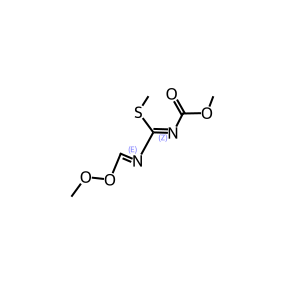 COO/C=N/C(=N/C(=O)OC)SC